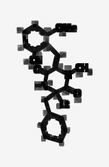 CCC1(Cc2ccccc2)NC(=O)C(=Cc2c(C#N)cccc2OC)N(C)C1=O